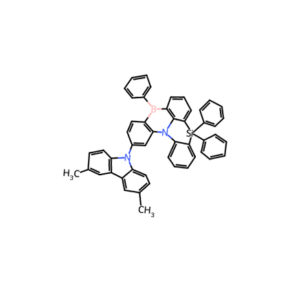 Cc1ccc2c(c1)c1cc(C)ccc1n2-c1ccc2c(c1)N1c3ccccc3[Si](c3ccccc3)(c3ccccc3)c3cccc(c31)B2c1ccccc1